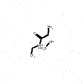 NCC(=O)NCC(F)(F)F.O=S(=O)(O)O